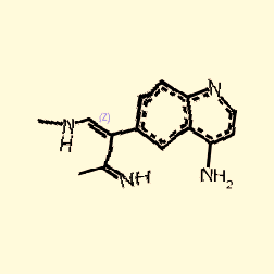 CN/C=C(\C(C)=N)c1ccc2nccc(N)c2c1